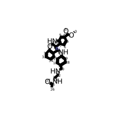 COC(=O)c1ccc2c(c1)NC(=O)/C2=C(/Nc1ccc(CNCCNC(C)=O)cc1)c1ccccc1